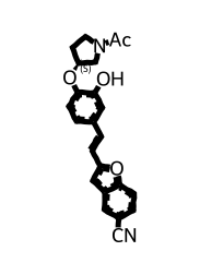 CC(=O)N1CC[C@H](Oc2ccc(C=Cc3cc4cc(C#N)ccc4o3)cc2O)C1